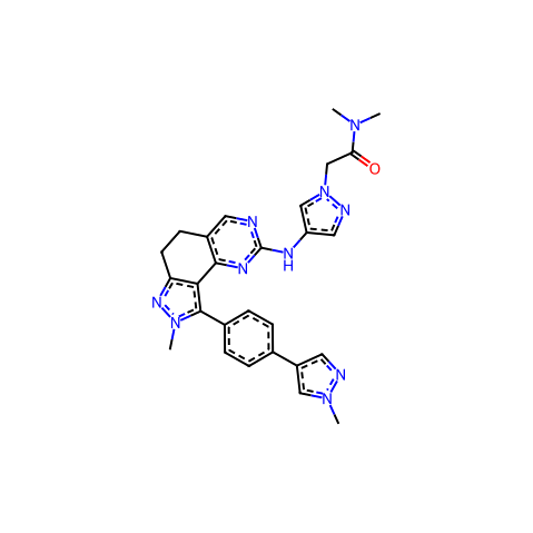 CN(C)C(=O)Cn1cc(Nc2ncc3c(n2)-c2c(nn(C)c2-c2ccc(-c4cnn(C)c4)cc2)CC3)cn1